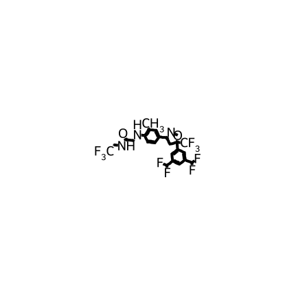 Cc1cc(C2=NOC(c3cc(C(F)F)cc(C(F)F)c3)(C(F)(F)F)C2)ccc1NCC(=O)NCC(F)(F)F